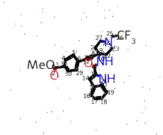 COC(=O)c1ccc(C#CC2(NC(=O)c3cc4ccccc4[nH]3)CCN(CC(F)(F)F)CC2)cc1